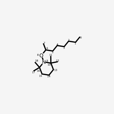 CCCCCCC(C)ON1C(C)(C)CCCC1(C)C